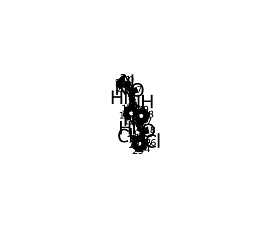 Cn1ccnc1C(=O)NNc1ccnc2c(NC(=O)c3c(Cl)cccc3Cl)cccc12